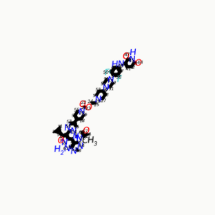 CC1(n2nc(-c3noc(C4CC4)c3-c3ncc(C4CCN(C(=O)OCCN5CCC(N6CCN(c7c(F)cc(NC8CCC(=O)NC8=O)cc7F)CC6)CC5)CC4)cn3)c3c(N)ncnc32)COC1